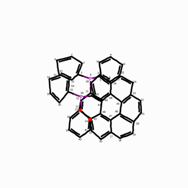 c1ccc(P(c2ccccc2)c2ccc3ccc4ccc5ccc6ccc7ccc(P(c8ccccc8)c8ccccc8)cc7c6c5c4c3c2)cc1